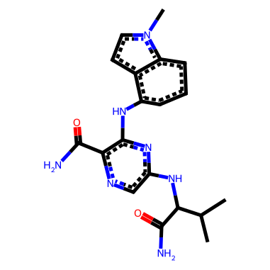 CC(C)C(Nc1cnc(C(N)=O)c(Nc2cccc3c2ccn3C)n1)C(N)=O